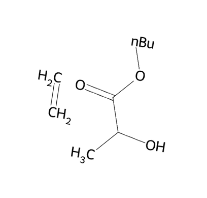 C=C.CCCCOC(=O)C(C)O